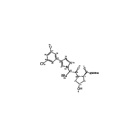 CNC(=O)[C@H]1CC(O)CN1C(=O)C(n1cc(-c2cc(Cl)cc(Cl)c2)nn1)C(C)(C)C